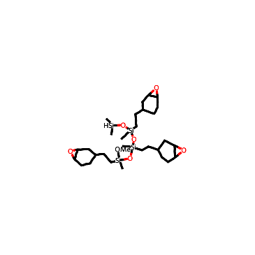 CO[Si](C)(CCC1CCC2OC2C1)O[Si](C)(CCC1CCC2OC2C1)O[Si](C)(CCC1CCC2OC2C1)O[SiH](C)C